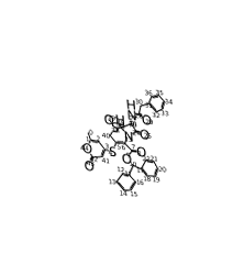 Cc1cc(SC2=C(C(=O)OC(c3ccccc3)c3ccccc3)N3C(=O)[C@@H](NC(=O)Cc4ccccc4)[C@@H]3[S+]([O-])C2)cc(=O)o1